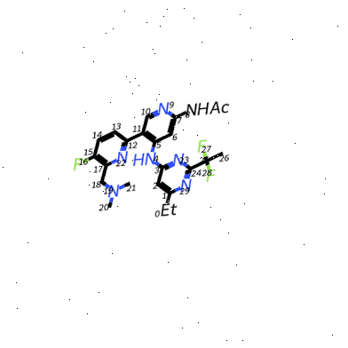 CCc1cc(Nc2cc(NC(C)=O)ncc2-c2ccc(F)c(CN(C)C)n2)nc(C(C)(F)F)n1